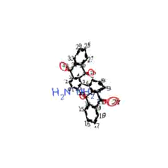 Nc1cc2c(c(-c3cccc4c3C(=O)c3ccccc3C4=O)c1N)C(=O)c1ccccc1C2=O